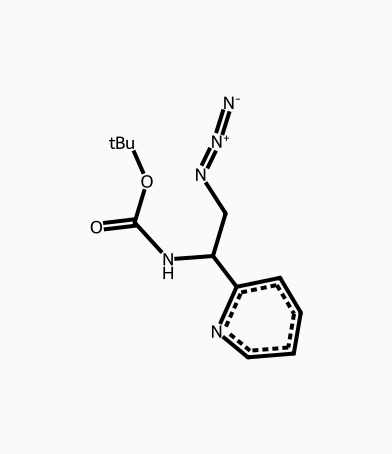 CC(C)(C)OC(=O)NC(CN=[N+]=[N-])c1ccccn1